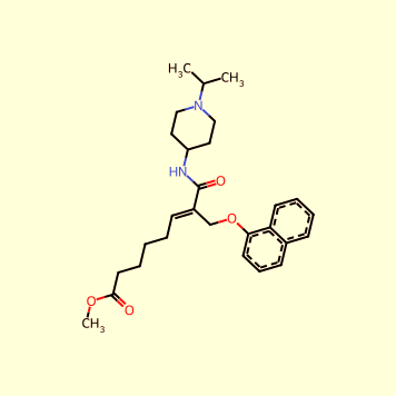 COC(=O)CCCC/C=C(\COc1cccc2ccccc12)C(=O)NC1CCN(C(C)C)CC1